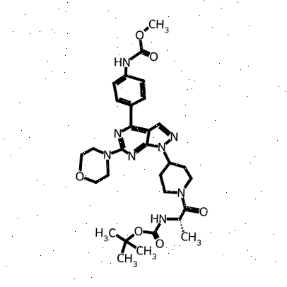 COC(=O)Nc1ccc(-c2nc(N3CCOCC3)nc3c2cnn3C2CCN(C(=O)[C@H](C)NC(=O)OC(C)(C)C)CC2)cc1